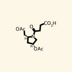 CC(=O)OC[C@@H]1C[C@@H](OC(C)=O)CN1C(=O)CCC(=O)O